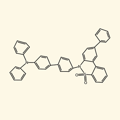 O=S1(=O)c2ccccc2-c2cc(-c3ccccc3)ccc2N1c1ccc(-c2ccc(N(c3ccccc3)c3ccccc3)cc2)cc1